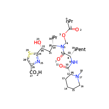 CCCC(=O)OCN(C(=O)[C@@H](NC(=O)[C@H]1CCCCN1C)C(C)CCC)[C@H](C[C@@H](O)c1nc(C(=O)O)cs1)C(C)C